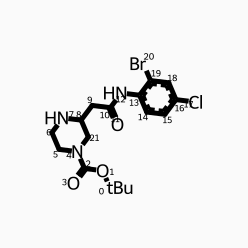 CC(C)(C)OC(=O)N1CCNC(CC(=O)Nc2ccc(Cl)cc2Br)C1